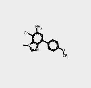 Cn1cnc2c(-c3ccc(OC(F)(F)F)cc3)cc(N)c(Br)c21